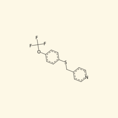 FC(F)(F)Oc1ccc(SCc2ccncc2)cc1